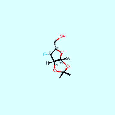 CC1(C)O[C@H]2O[C@H](CO)[C@@H](F)[C@H]2O1